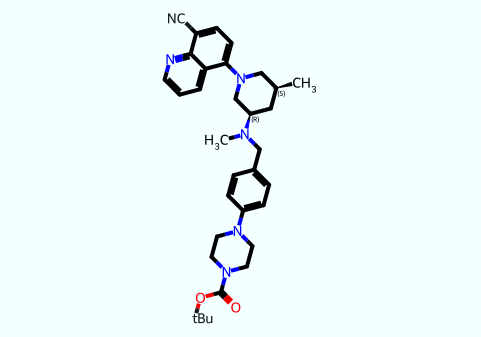 C[C@H]1C[C@@H](N(C)Cc2ccc(N3CCN(C(=O)OC(C)(C)C)CC3)cc2)CN(c2ccc(C#N)c3ncccc23)C1